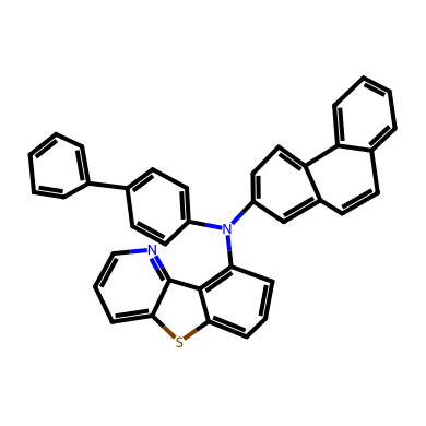 c1ccc(-c2ccc(N(c3ccc4c(ccc5ccccc54)c3)c3cccc4sc5cccnc5c34)cc2)cc1